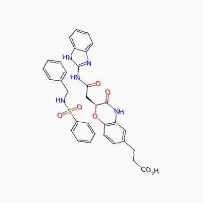 O=C(O)CCc1ccc2c(c1)NC(=O)[C@H](CC(=O)Nc1nc3ccccc3[nH]1)O2.O=S(=O)(NCc1ccccc1)c1ccccc1